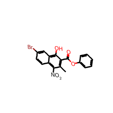 Cc1c(C(=O)Oc2ccccc2)c(O)c2cc(Br)ccc2c1[N+](=O)[O-]